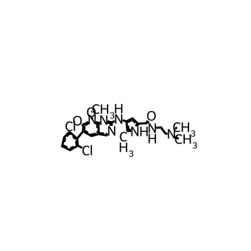 COn1c(=O)c(-c2c(Cl)cccc2Cl)cc2cnc(Nc3cc(C(=O)NCCN(C)C)[nH]c3C)nc21